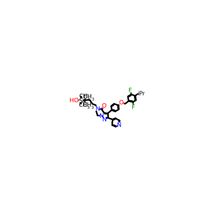 CC(C)c1cc(F)c(COc2ccc(-c3c(-c4ccncc4)nn4c3C(=O)N(CCCC(C)(C)[Si](C)(C)O)CC4)cc2)cc1F